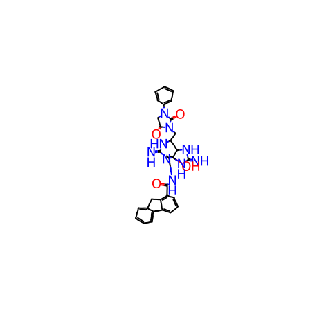 N=C1NC2C(CN3C(=O)CN(c4ccccc4)C3=O)NC(=N)N3CC(NC(=O)c4cccc5c4Cc4ccccc4-5)C(O)C23N1